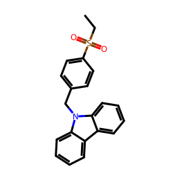 CCS(=O)(=O)c1ccc(Cn2c3ccccc3c3ccccc32)cc1